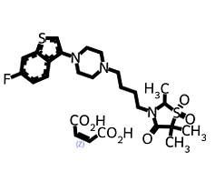 CC1N(CCCCN2CCN(c3csc4cc(F)ccc34)CC2)C(=O)C(C)(C)S1(=O)=O.O=C(O)/C=C\C(=O)O